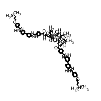 C[C@@H](NC(=O)CN(CCN)C(=O)c1ccc(-c2nc3cc(-c4ccc5[nH]c(-c6ccc(OCCCN(C)C)cc6)nc5c4)ccc3[nH]2)cc1)C(=O)N[C@H](C)C(=O)N[C@H](C)C(=O)N[C@H](C)C(=O)N(CCNC(=O)c1ccc(-c2nc3cc(-c4ccc5[nH]c(-c6ccc(OCCCN(C)C)cc6)nc5c4)ccc3[nH]2)cc1)CC(N)=O